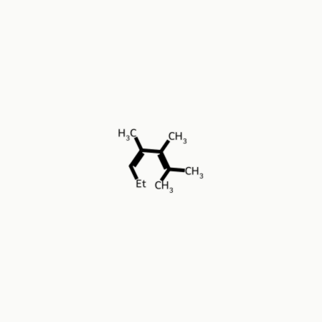 CCC=C(C)C(C)=C(C)C